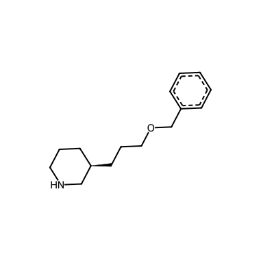 c1ccc(COCCC[C@@H]2CCCNC2)cc1